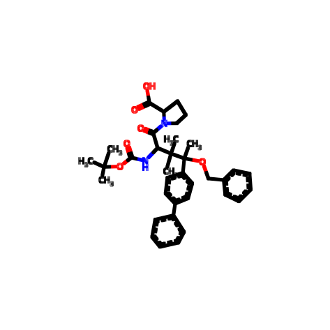 CC(C)(C)OC(=O)NC(C(=O)N1CCCC1C(=O)O)C(C)(C)C(C)(OCc1ccccc1)c1ccc(-c2ccccc2)cc1